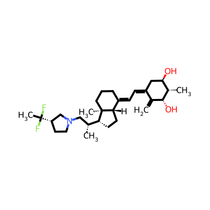 C=C1/C(=C\C=C2/CCC[C@]3(C)[C@@H]([C@H](C)CN4CC[C@H](C(C)(F)F)C4)CC[C@@H]23)C[C@@H](O)[C@H](C)[C@@H]1O